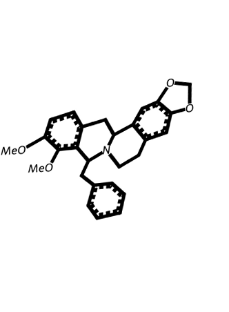 COc1ccc2c(c1OC)C(Cc1ccccc1)N1CCc3cc4c(cc3C1C2)OCO4